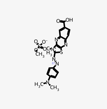 CN(C)c1ccc(/N=N/c2sc3nc4ccc(C(=O)O)cc4nc3[n+]2C)cc1.COS(=O)(=O)[O-]